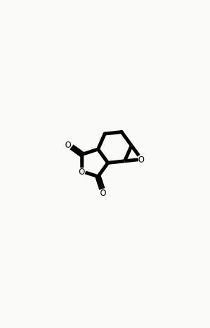 O=C1OC(=O)C2C1CCC1OC12